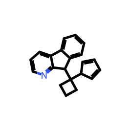 C1=CC(C2(C3c4ccccc4-c4cccnc43)CCC2)C=C1